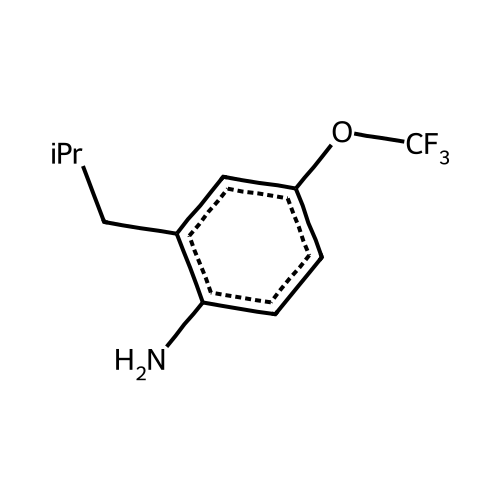 CC(C)Cc1cc(OC(F)(F)F)ccc1N